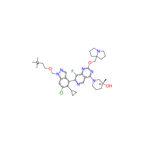 C[C@@]1(O)CCCN(c2nc(OCC34CCCN3CCC4)nc3c(F)c(-c4c(C5CC5)c(Cl)cc5c4cnn5COCC[Si](C)(C)C)ncc23)C1